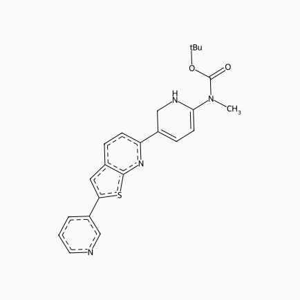 CN(C(=O)OC(C)(C)C)C1=CC=C(c2ccc3cc(-c4cccnc4)sc3n2)CN1